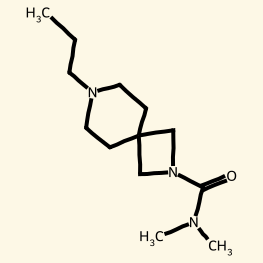 CCCN1CCC2(CC1)CN(C(=O)N(C)C)C2